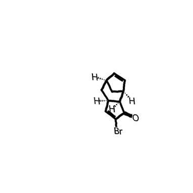 O=C1C(Br)=C[C@H]2C[C@H]3C=C[C@H](C3)[C@@H]12